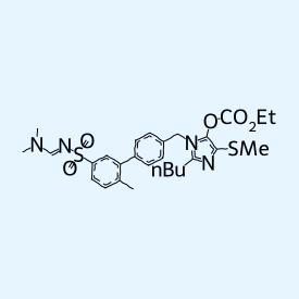 CCCCc1nc(SC)c(OC(=O)OCC)n1Cc1ccc(-c2cc(S(=O)(=O)N=CN(C)C)ccc2C)cc1